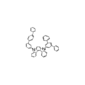 c1ccc(-c2ccc(-c3cccc(-n4c5ccccc5c5c6c7ccccc7n(-c7cc(-c8ccccc8)cc(-c8ccccc8)c7)c6ccc54)c3)cc2)cc1